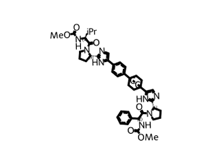 COC(=O)N[C@H](C(=O)N1CCC[C@H]1c1ncc(-c2ccc(C34CCC(c5cnc([C@@H]6CCCN6C(=O)[C@H](NC(=O)OC)c6ccccc6)[nH]5)(CC3)CC4)cc2)[nH]1)C(C)C